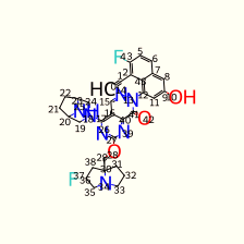 C#Cc1c(F)ccc2cc(O)cc(-n3ncc4c(N5CC6CCC(C5)N6)nc(OC[C@@]56CCCN5C[C@H](F)C6)nc4c3=O)c12